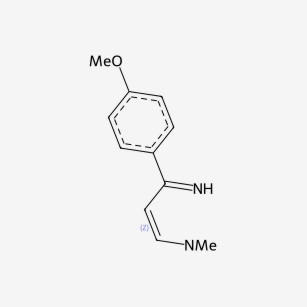 CN/C=C\C(=N)c1ccc(OC)cc1